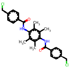 Cc1c(C)c(NC(=O)c2ccc(CCl)cc2)c(C)c(C)c1NC(=O)c1ccc(CCl)cc1